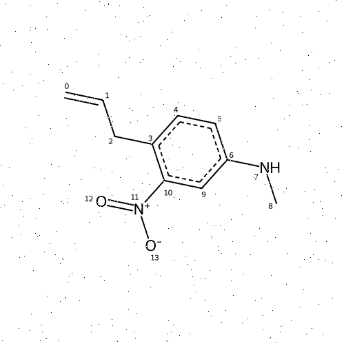 C=CCc1ccc(NC)cc1[N+](=O)[O-]